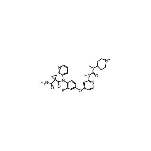 CN1CCC(N(C)C(=O)Nc2cc(Oc3ccc(N(C(=O)C4(C(N)=O)CC4)c4cccnc4)c(F)c3)ccn2)CC1